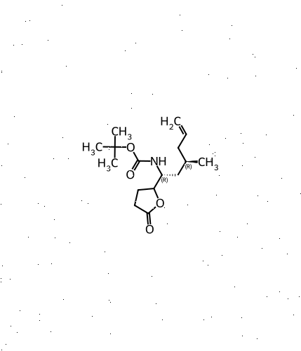 C=CC[C@@H](C)C[C@@H](NC(=O)OC(C)(C)C)C1CCC(=O)O1